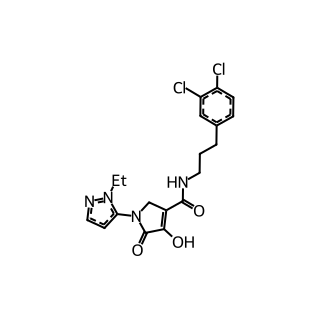 CCn1nccc1N1CC(C(=O)NCCCc2ccc(Cl)c(Cl)c2)=C(O)C1=O